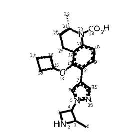 CC1NCC1n1cc(-c2ccc3c(c2OC2CCC2)CC[C@H](C)N3C(=O)O)cn1